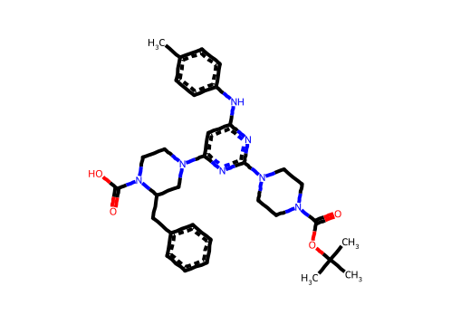 Cc1ccc(Nc2cc(N3CCN(C(=O)O)C(Cc4ccccc4)C3)nc(N3CCN(C(=O)OC(C)(C)C)CC3)n2)cc1